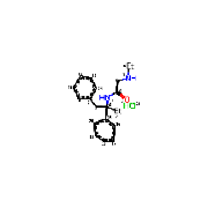 CCNCC(=O)NC(CC)(Cc1ccccc1)c1ccccc1.Cl